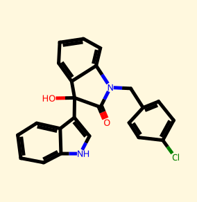 O=C1N(Cc2ccc(Cl)cc2)c2ccccc2C1(O)c1c[nH]c2ccccc12